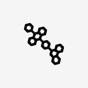 c1ccc(-c2c3ccccc3c(-c3ccc(-c4cc5ccccc5c5ccccc45)cc3)c3ccccc23)cc1